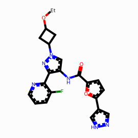 CCOC1CC(n2cc(NC(=O)c3ccc(-c4cn[nH]c4)o3)c(-c3ncccc3F)n2)C1